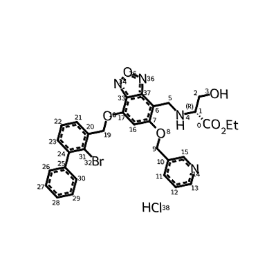 CCOC(=O)[C@@H](CO)NCc1c(OCc2cccnc2)cc(OCc2cccc(-c3ccccc3)c2Br)c2nonc12.Cl